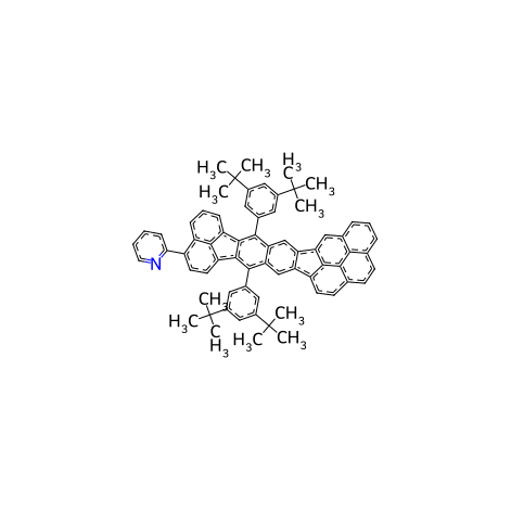 CC(C)(C)c1cc(-c2c3cc4c(cc3c(-c3cc(C(C)(C)C)cc(C(C)(C)C)c3)c3c5cccc6c(-c7ccccn7)ccc(c23)c65)c2cc3cccc5ccc6ccc4c2c6c53)cc(C(C)(C)C)c1